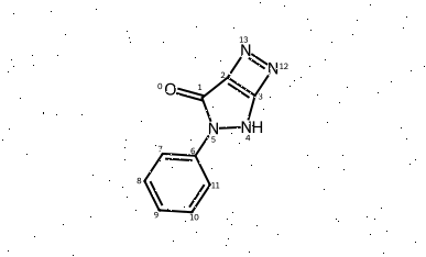 O=c1c2c([nH]n1-c1ccccc1)N=N2